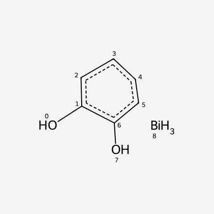 Oc1ccccc1O.[BiH3]